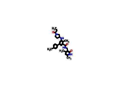 C=CC(=O)N1CCC(Nc2cc(-c3ccc(C)cc3)cc(C(=O)NCc3c(C)cc(C)[nH]c3=O)c2C)C1